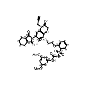 C#CCN1C(=O)COc2cc(F)c(N3C(=O)C4=C(CCCC4)C3=O)cc21.COCCOc1ccccc1S(=O)(=O)NC(=O)Nc1nc(OC)nc(OC)n1